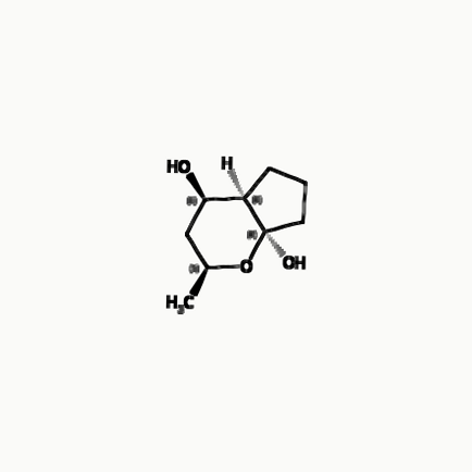 C[C@H]1C[C@@H](O)[C@H]2CCC[C@@]2(O)O1